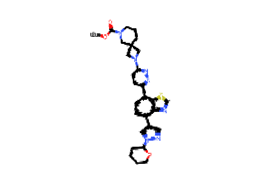 CC(C)(C)OC(=O)N1CCCC2(C1)CN(c1ccc(-c3ccc(-c4cnn(C5CCCCO5)c4)c4ncsc34)nn1)C2